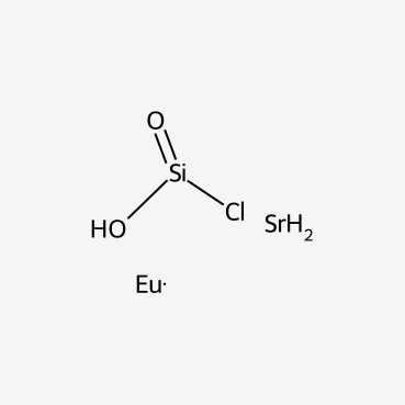 O=[Si](O)Cl.[Eu].[SrH2]